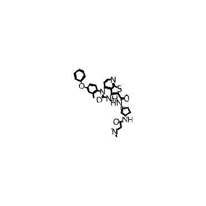 Cc1cc(Oc2ccccc2)ccc1N1C(=O)Nc2c(C(=O)N[C@H]3CCC(NC(=O)CN(C)C)C3)sc3nccc1c23